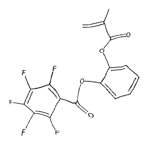 C=C(C)C(=O)Oc1ccccc1OC(=O)c1c(F)c(F)c(F)c(F)c1F